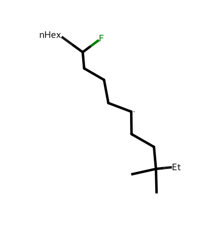 CCCCCCC(F)CCC[CH]CCC(C)(C)CC